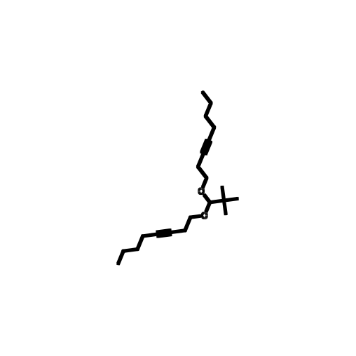 CCCCC#CCCOC(OCCC#CCCCC)C(C)(C)C